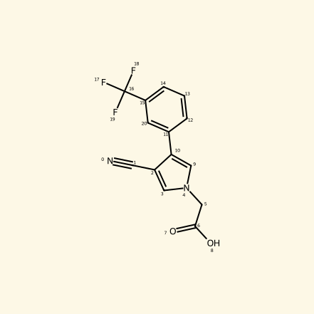 N#Cc1cn(CC(=O)O)cc1-c1cccc(C(F)(F)F)c1